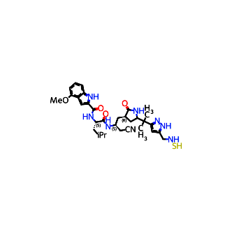 COc1cccc2[nH]c(C(=O)N[C@@H](CC(C)C)C(=O)N[C@H](CC#N)C[C@@H]3CC(C(C)(C)c4cc(CNS)[nH]n4)NC3=O)cc12